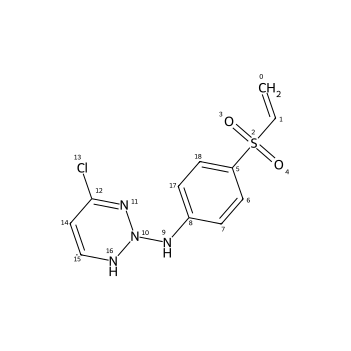 C=CS(=O)(=O)c1ccc(NN2N=C(Cl)C=[C]N2)cc1